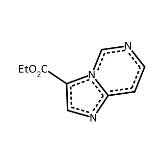 CCOC(=O)c1cnc2ccncn12